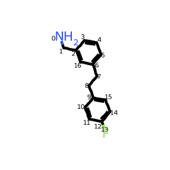 NCc1cccc(CCc2ccc(F)cc2)c1